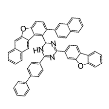 c1ccc(-c2ccc(C3=NC(c4ccc5c(c4)oc4ccccc45)=NC(c4c(-c5ccc6ccccc6c5)ccc5oc6cc7ccccc7cc6c45)N3)cc2)cc1